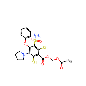 CC(C)(C)C(=O)OCOC(=O)c1c(S)c(N2CCCC2)c(Oc2ccccc2)c(S(N)(=O)=O)c1S